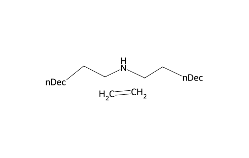 C=C.CCCCCCCCCCCCNCCCCCCCCCCCC